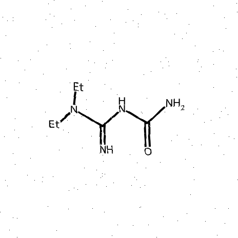 CCN(CC)C(=N)NC(N)=O